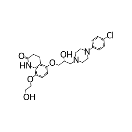 O=C1CCc2c(OCC(O)CN3CCN(c4ccc(Cl)cc4)CC3)ccc(OCCO)c2N1